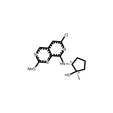 CSc1ncc2cc(Cl)nc(N[C@@H]3CCC[C@@]3(C)O)c2n1